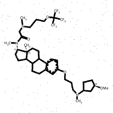 CO[C@@H]1CCC(N(C)CCCOc2ccc3c(c2)CCC2C3CC[C@@]3(C)C2CC[C@@H]3N(C)C(=O)CN(C)CCCOC(C(F)(F)F)(C(F)(F)F)C(F)(F)F)C1